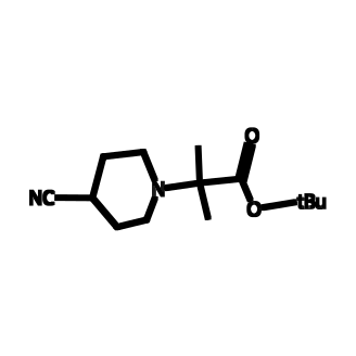 CC(C)(C)OC(=O)C(C)(C)N1CCC(C#N)CC1